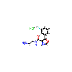 Cl.NCCNC(=O)c1ncoc1-c1cccc(F)c1